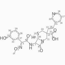 CON=C(C(=O)NC1C(=O)N2CC(C=Cc3cccnc3)(C(=O)O)CS[C@H]12)c1cccc(O)c1